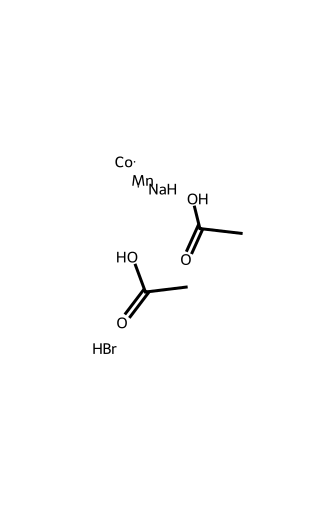 Br.CC(=O)O.CC(=O)O.[Co].[Mn].[NaH]